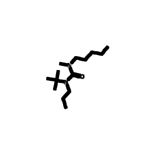 CCCCCN(C)C(=O)N(CCC)C(C)(C)C